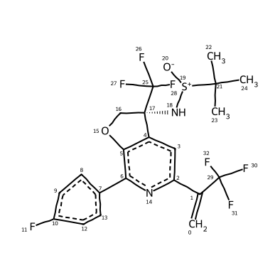 C=C(c1cc2c(c(-c3ccc(F)cc3)n1)OC[C@@]2(N[S+]([O-])C(C)(C)C)C(F)(F)F)C(F)(F)F